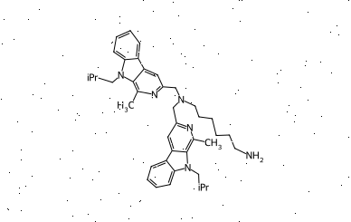 Cc1nc(CN(CCCCCCN)Cc2cc3c4ccccc4n(CC(C)C)c3c(C)n2)cc2c3ccccc3n(CC(C)C)c12